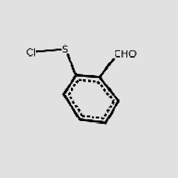 O=Cc1ccccc1SCl